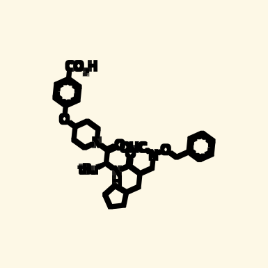 CC(C)(C)[C@H](NC(=O)C(CC1CCCC1)CN(C=O)OCc1ccccc1)C(=O)N1CCC(Oc2ccc(C(=O)O)cc2)CC1